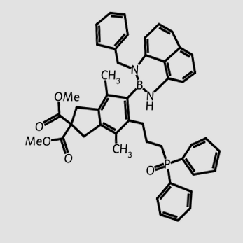 COC(=O)C1(C(=O)OC)Cc2c(C)c(CCCP(=O)(c3ccccc3)c3ccccc3)c(B3Nc4cccc5cccc(c45)N3Cc3ccccc3)c(C)c2C1